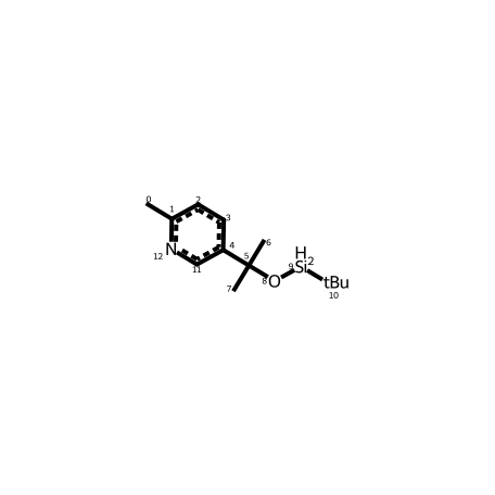 Cc1ccc(C(C)(C)O[SiH2]C(C)(C)C)cn1